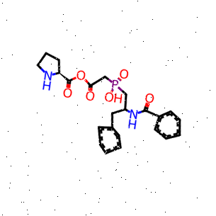 O=C(CP(=O)(O)CC(Cc1ccccc1)NC(=O)c1ccccc1)OC(=O)[C@@H]1CCCN1